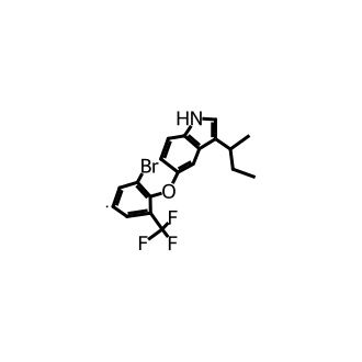 CCC(C)c1c[nH]c2ccc(Oc3c(Br)c[c]cc3C(F)(F)F)cc12